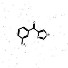 Cc1cccc(C(=O)c2c[nH]cn2)c1